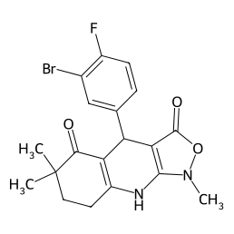 Cn1oc(=O)c2c1NC1=C(C(=O)C(C)(C)CC1)C2c1ccc(F)c(Br)c1